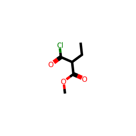 CCC(C(=O)Cl)C(=O)OC